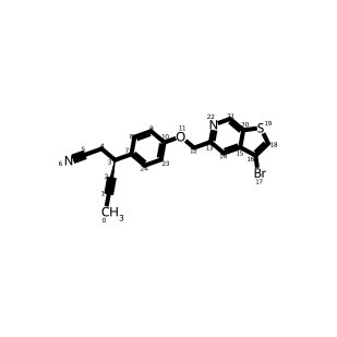 CC#C[C@@H](CC#N)c1ccc(OCc2cc3c(Br)csc3cn2)cc1